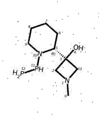 CN1CC(O)([C@H]2CCCCN2PP)C1